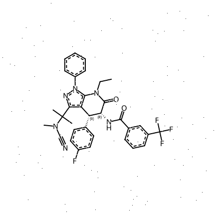 CCN1C(=O)[C@H](NC(=O)c2cccc(C(F)(F)F)c2)[C@H](c2ccc(F)cc2)c2c(C(C)(C)N(C)C#N)nn(-c3ccccc3)c21